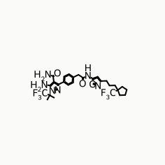 CC(C)(n1nc(-c2ccc(CC(=O)Nc3cc(CCCC4(C(F)(F)F)CCCC4)no3)cc2)c(C(N)=O)c1N)C(F)(F)F